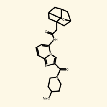 COC1CCN(C(=O)c2cn3c(NC(=O)CC45CC6CC(CC(C6)C4)C5)cccc3n2)CC1